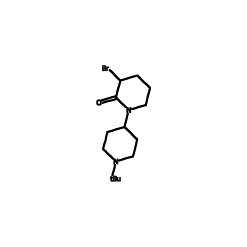 CC(C)(C)N1CCC(N2CCCC(Br)C2=O)CC1